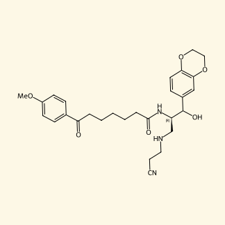 COc1ccc(C(=O)CCCCCC(=O)N[C@H](CNCCC#N)C(O)c2ccc3c(c2)OCCO3)cc1